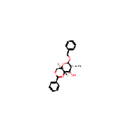 CC(=O)N[C@H]1C(OCc2ccccc2)O[C@@H]2COC(c3ccccc3)O[C@H]2[C@@H]1O